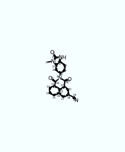 Cn1c(=O)[nH]c2ccc(N3C(=O)c4cccc5cc(C#N)cc(c45)C3=O)cc21